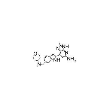 Cc1nc2c(-c3cc4ccc(CN(C)C5CCOCC5)cc4[nH]3)cc(N)nc2[nH]1